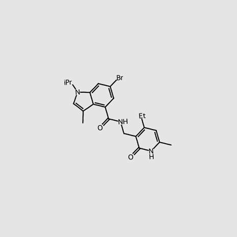 CCc1cc(C)[nH]c(=O)c1CNC(=O)c1cc(Br)cc2c1c(C)cn2C(C)C